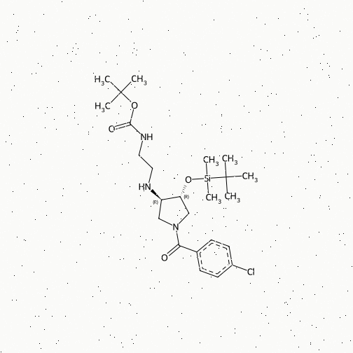 CC(C)(C)OC(=O)NCCN[C@@H]1CN(C(=O)c2ccc(Cl)cc2)C[C@H]1O[Si](C)(C)C(C)(C)C